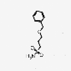 NS(=O)(=O)CCCOCc1ccccc1